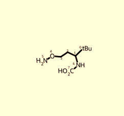 CC(C)(C)C(CCON)NC(=O)O